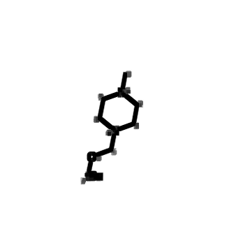 CN1CCN(COC(C)(C)C)CC1